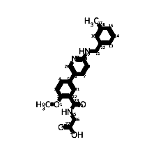 COc1ccc(-c2ccc(NCc3cccc(C)c3)nc2)cc1C(=O)NCC(=O)O